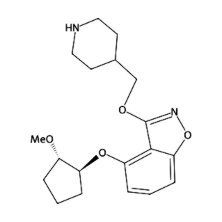 CO[C@H]1CCC[C@@H]1Oc1cccc2onc(OCC3CCNCC3)c12